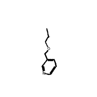 C[CH]COCc1cccnc1